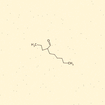 CCCCCCC(C=O)CCC